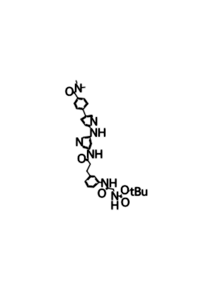 CN(C)C(=O)c1ccc(-c2ccc(Nc3cncc(NC(=O)CCc4cccc(NC(=O)CNC(=O)OC(C)(C)C)c4)c3)nc2)cc1